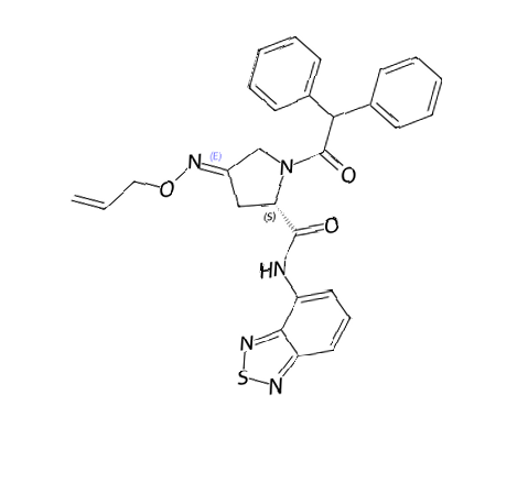 C=CCO/N=C1\C[C@@H](C(=O)Nc2cccc3nsnc23)N(C(=O)C(c2ccccc2)c2ccccc2)C1